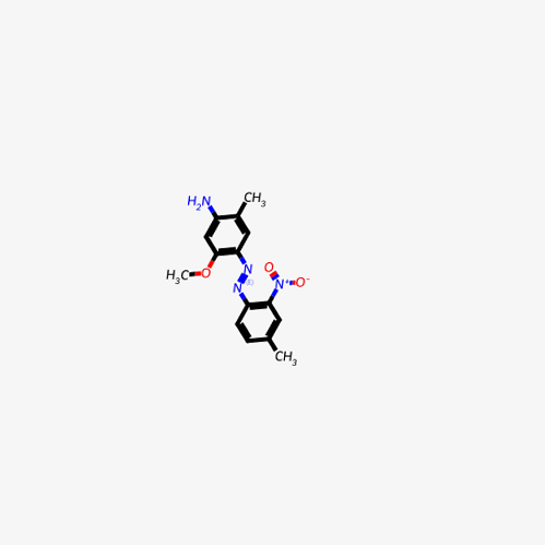 COc1cc(N)c(C)cc1/N=N/c1ccc(C)cc1[N+](=O)[O-]